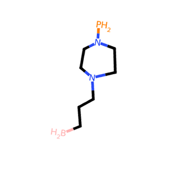 BCCCN1CCN(P)CC1